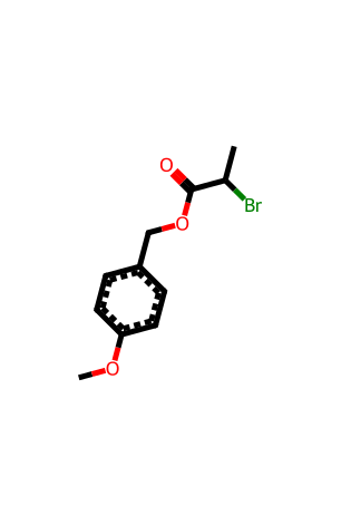 COc1ccc(COC(=O)C(C)Br)cc1